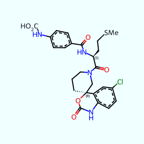 CSCC[C@H](NC(=O)c1ccc(NC(=O)O)cc1)C(=O)N1CCC[C@@]2(C1)OC(=O)Nc1ccc(Cl)cc12